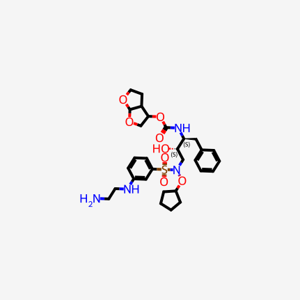 NCCNc1cccc(S(=O)(=O)N(C[C@H](O)[C@H](Cc2ccccc2)NC(=O)OC2COC3OCCC23)OC2CCCC2)c1